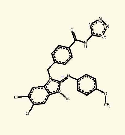 CCn1/c(=N\c2ccc(OC(F)(F)F)cc2)n(Cc2ccc(C(=O)Nc3nnn[nH]3)cc2)c2cc(Cl)c(Cl)cc21